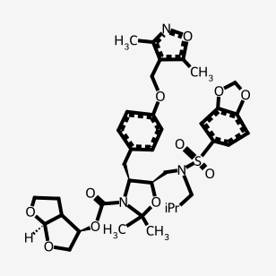 Cc1noc(C)c1COc1ccc(C[C@H]2[C@@H](CN(CC(C)C)S(=O)(=O)c3ccc4c(c3)OCO4)OC(C)(C)N2C(=O)O[C@H]2CO[C@H]3OCCC32)cc1